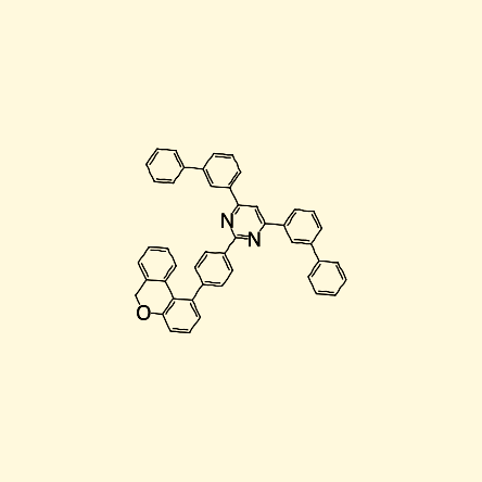 c1ccc(-c2cccc(-c3cc(-c4cccc(-c5ccccc5)c4)nc(-c4ccc(-c5cccc6c5-c5ccccc5CO6)cc4)n3)c2)cc1